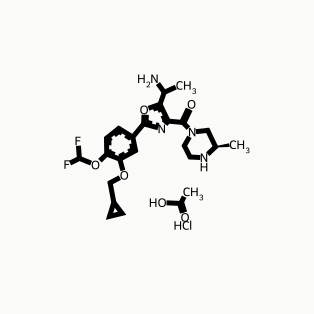 CC(=O)O.CC(N)c1oc(-c2ccc(OC(F)F)c(OCC3CC3)c2)nc1C(=O)N1CCN[C@H](C)C1.Cl